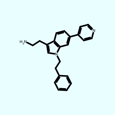 NCCc1cn(CCc2ccccc2)c2cc(-c3ccncc3)ccc12